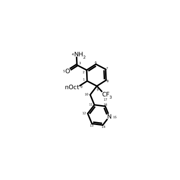 CCCCCCCCC1C(C(N)=O)=CC=CC1(Cc1cccnc1)C(F)(F)F